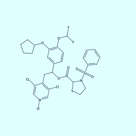 O=C(OC(Cc1c(Cl)c[n+]([O-])cc1Cl)c1ccc(OC(F)F)c(OC2CCCC2)c1)C1SCCN1S(=O)(=O)c1ccccc1